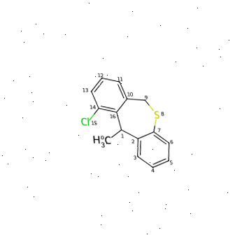 CC1c2ccccc2SCc2cccc(Cl)c21